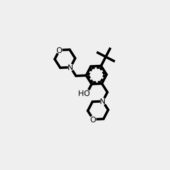 CC(C)(C)c1cc(CN2CCOCC2)c(O)c(CN2CCOCC2)c1